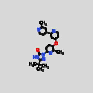 Cc1cc(-c2cc(Oc3ccc(-n4nc(C(C)(C)C)[nH]c4=O)nc3C)ccn2)ccn1